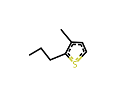 CCCc1sccc1C